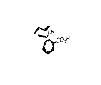 C=CC#N.C=CC=C.O=C(O)c1ccccc1